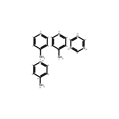 Nc1ccncc1.Nc1ccncc1.Nc1ccncc1.c1ncncn1